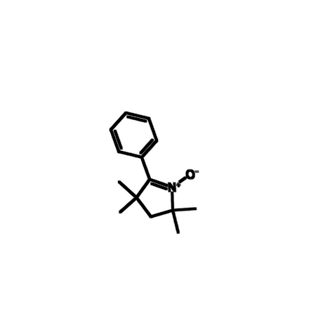 CC1(C)CC(C)(C)[N+]([O-])=C1c1ccccc1